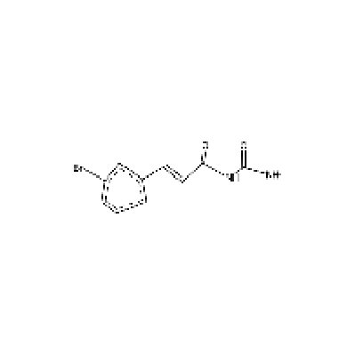 [NH]C(=O)NC(=O)/C=C/c1cccc(Br)c1